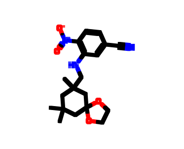 CC1(C)CC(C)(CNc2cc(C#N)ccc2[N+](=O)[O-])CC2(C1)OCCO2